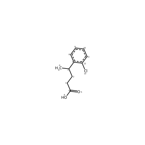 CC(CCC(=O)O)c1ccccc1Cl